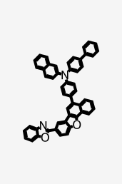 c1ccc(-c2ccc(N(c3ccc(-c4cc5c6cc(-c7nc8ccccc8o7)ccc6oc5c5ccccc45)cc3)c3ccc4ccccc4c3)cc2)cc1